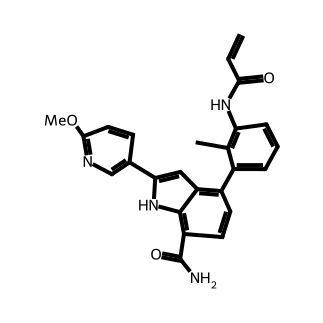 C=CC(=O)Nc1cccc(-c2ccc(C(N)=O)c3[nH]c(-c4ccc(OC)nc4)cc23)c1C